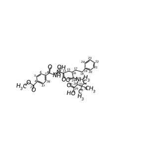 COC(=O)c1ccc(C(=O)NN(O)C(=O)CC(CCc2ccccc2)C(=O)N[C@H](C(=O)O)C(C)(C)C)cc1